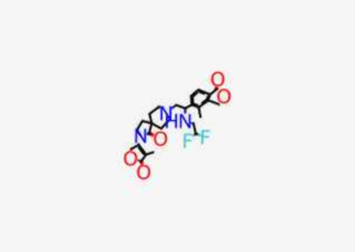 CC1=C(N2CCC3(CCN(CC(NCC(F)F)c4ccc5c(c4C)COC5=O)CC3)C2=O)COC1=O